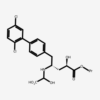 CC(C)OC(=O)[C@H](O)C[C@@H](Cc1ccc(-c2cc(Cl)ccc2Cl)cc1)NC(O)C(=O)O